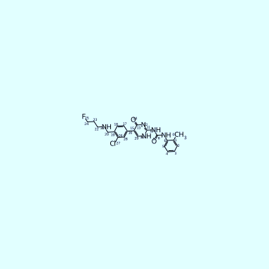 Cc1ccccc1NC(=O)Nc1nc(=O)c(-c2ccc(CNCCCF)c(Cl)c2)c[nH]1